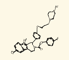 CC(=O)N1CCN(CCCOc2ccc(C3c4[nH]c5ccc(Cl)cc5c4CCN3C(=O)Oc3ccc(F)cc3)cc2)CC1